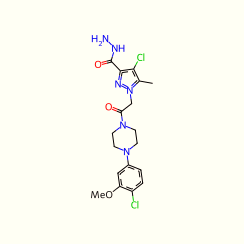 COc1cc(N2CCN(C(=O)Cn3nc(C(=O)NN)c(Cl)c3C)CC2)ccc1Cl